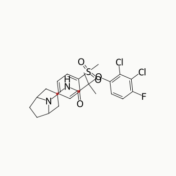 CC(C)(Oc1ccc(F)c(Cl)c1Cl)C(=O)NC1CC2CCC(C1)N2c1ccc(S(C)(=O)=O)cc1